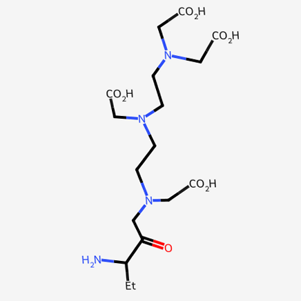 [CH2]CC(N)C(=O)CN(CCN(CCN(CC(=O)O)CC(=O)O)CC(=O)O)CC(=O)O